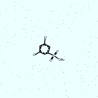 CC(C)COS(=O)(=O)c1cc(Cl)cc(Cl)c1